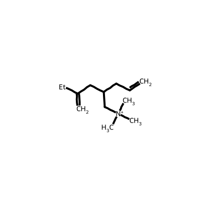 C=CCC(CC(=C)CC)C[N+](C)(C)C